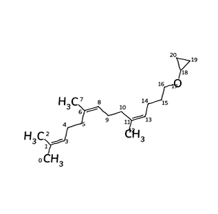 CC(C)=CCCC(C)=CCCC(C)=CCCCOC1CC1